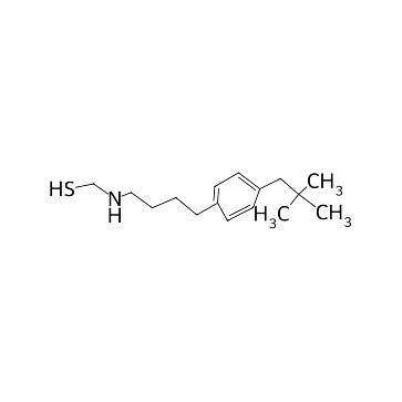 CC(C)(C)Cc1ccc(CCCCNCS)cc1